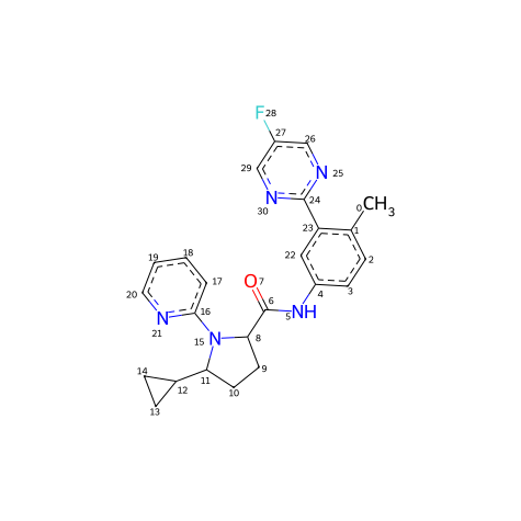 Cc1ccc(NC(=O)C2CCC(C3CC3)N2c2ccccn2)cc1-c1ncc(F)cn1